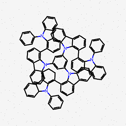 C1=CC2C3=CCCC(c4cccc5c6ccccc6n(-c6cc(-n7c8ccccc8c8cccc(-c9cccc%10c%11ccccc%11n(-c%11ccccc%11)c9%10)c87)cc(-n7c8ccccc8c8cccc(-c9cccc%10c%11ccccc%11n(-c%11ccccc%11)c9%10)c87)c6)c45)=C3N(c3ccccc3)C2C=C1